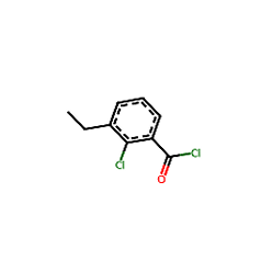 CCc1cccc(C(=O)Cl)c1Cl